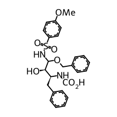 COc1ccc(S(=O)(=O)NC(OCc2ccccc2)[C@H](O)[C@H](Cc2ccccc2)NC(=O)O)cc1